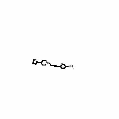 Nc1ccc(C#CCCN2CC=C(c3cccs3)CC2)nc1